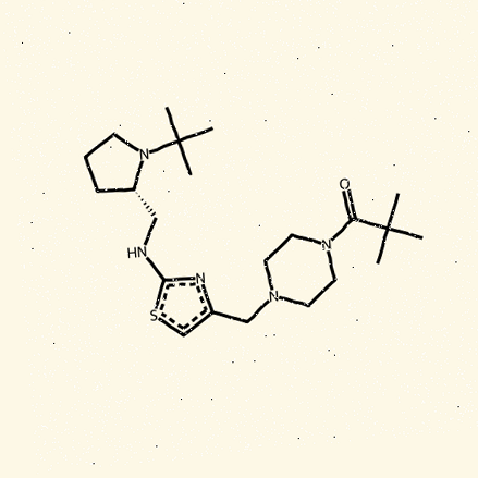 CC(C)(C)C(=O)N1CCN(Cc2csc(NC[C@@H]3CCCN3C(C)(C)C)n2)CC1